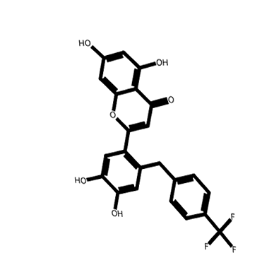 O=c1cc(-c2cc(O)c(O)cc2Cc2ccc(C(F)(F)F)cc2)oc2cc(O)cc(O)c12